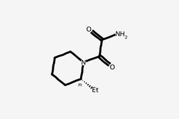 CC[C@@H]1CCCCN1C(=O)C(N)=O